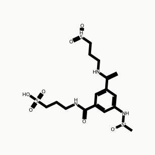 C=C(NCCC[SH](=O)=O)c1cc(N[S+](C)[O-])cc(C(=O)NCCCS(=O)(=O)O)c1